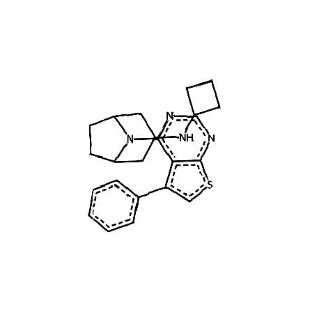 c1ccc(-c2csc3ncnc(N4C5CCC4CC(NC4CCC4)C5)c23)cc1